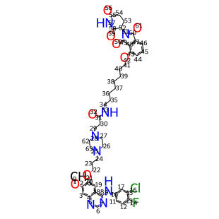 COc1cc2ncnc(Nc3ccc(F)c(Cl)c3)c2cc1OCCCN1CCN(CCC(=O)NCCCCCCCCOc2cccc3c2C(=O)N(C2CCC(=O)NC2=O)C3=O)CC1